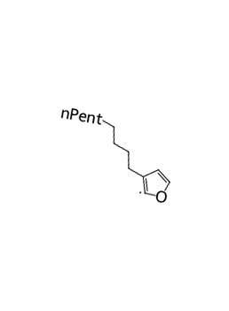 CCCCCCCCCc1[c]occ1